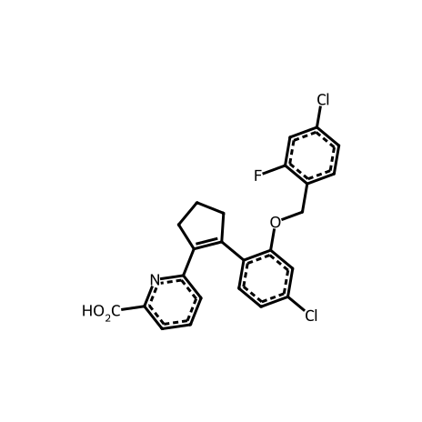 O=C(O)c1cccc(C2=C(c3ccc(Cl)cc3OCc3ccc(Cl)cc3F)CCC2)n1